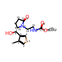 Cc1cscc1C(O)[C@@H]1CCC(=O)N1CCNC(=O)OC(C)(C)C